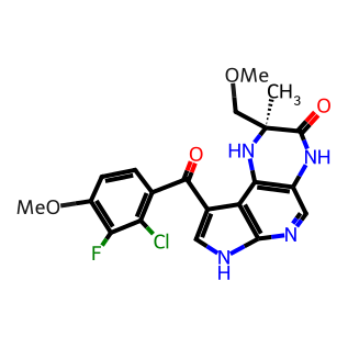 COC[C@]1(C)Nc2c(cnc3[nH]cc(C(=O)c4ccc(OC)c(F)c4Cl)c23)NC1=O